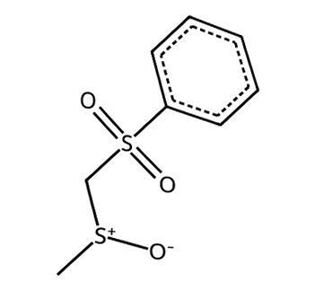 C[S+]([O-])CS(=O)(=O)c1ccccc1